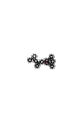 C1=C2c3ccccc3N(c3ccccc3)C2Cc2c1n(-c1ccc(-c3ccc(-n4c5ccccc5c5ccc6c7ccccc7n(-c7ccccc7)c6c54)cc3)cc1)c1ccccc21